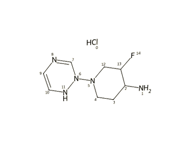 Cl.NC1CCN(N2C=NC=CN2)CC1F